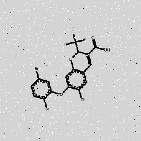 O=C(O)C1=Cc2cc(Cl)c(Oc3cc(Br)ccc3Br)cc2OC1C(F)(F)F